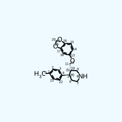 Cc1ccc([C@@H]2CCNC[C@H]2COc2ccc3c(c2)OCO3)cc1